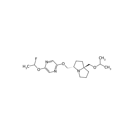 CC(C)OC[C@@]12CCCN1[C@H](COc1cnc(OC(C)F)cn1)CC2